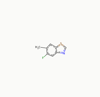 Cc1cc2scnc2cc1F